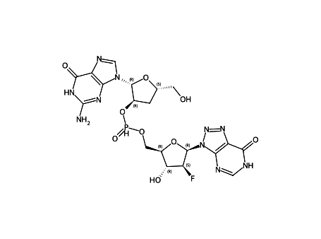 Nc1nc2c(ncn2[C@@H]2O[C@H](CO)C[C@H]2O[PH](=O)OC[C@H]2O[C@@H](n3nnc4c(=O)[nH]cnc43)[C@@H](F)[C@@H]2O)c(=O)[nH]1